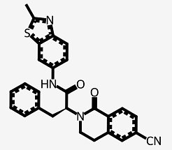 Cc1nc2ccc(NC(=O)[C@H](Cc3ccccc3)N3CCc4cc(C#N)ccc4C3=O)cc2s1